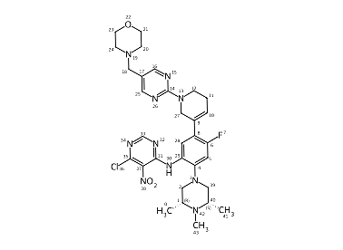 C[C@@H]1CN(c2cc(F)c(C3=CCCN(c4ncc(CN5CCOCC5)cn4)C3)cc2Nc2ncnc(Cl)c2[N+](=O)[O-])C[C@H](C)N1C